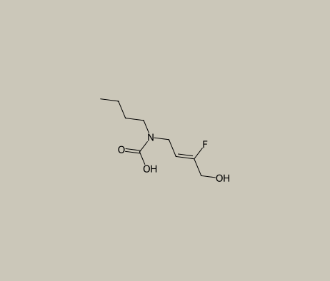 CCCCN(CC=C(F)CO)C(=O)O